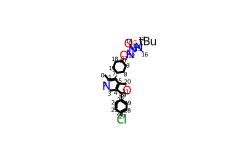 Cc1ncc2c(c1[C@H]1CC[C@H](ON=[N+]([O-])N(C)C(C)(C)C)CC1)CO[C@H]2c1ccc(Cl)cc1